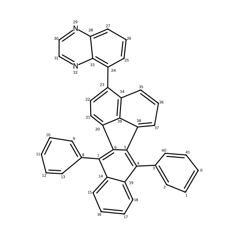 c1ccc(-c2c3c(c(-c4ccccc4)c4ccccc24)-c2ccc(-c4cccc5nccnc45)c4cccc-3c24)cc1